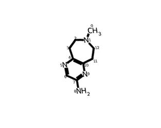 CN1CCc2ncc(N)nc2CC1